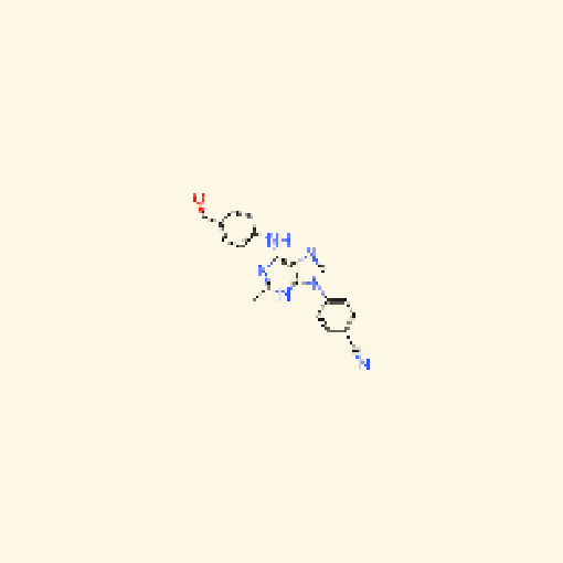 Cc1nc(Nc2ccc(C=O)cc2)c2ncn(-c3ccc(C#N)cc3)c2n1